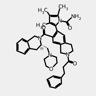 Cc1c(C)c(-c2cc3c(cc2C(=O)N2Cc4ccccc4C[C@H]2CN2CCOCC2)CN(C(=O)CCc2ccccc2)CC3)n(C(N)=O)c1C